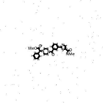 CNC(=O)c1cnc(-c2cccc(C(=O)N3CCN(C(C(=O)OC)c4ccccc4)CC3)c2)s1